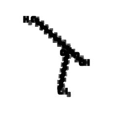 CCCCCCCCCCCCCCCCN(CCOCCO)C(=O)CCCCCCCCCCCCC